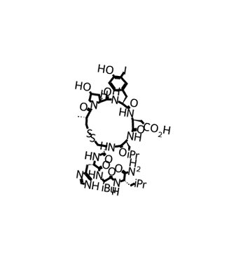 CCC(C)[C@H](NC(=O)[C@H](Cc1c[nH]cn1)NC(=O)[C@@H]1CSSC[C@H](C)C(=O)N2CC(O)C[C@H]2C(=O)N[C@@H](Cc2ccc(O)c(I)c2)C(=O)N[C@@H](CC(=O)O)C(=O)N[C@@H](CC(C)C)C(=O)N1)C(=O)N[C@@H](CC(C)C)C(N)=O